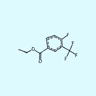 CCOC(=O)c1ccc(F)c(C(F)(F)F)c1